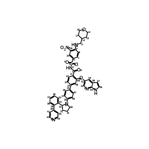 O=C(NS(=O)(=O)c1ccc(NCC2CCOCC2)c([N+](=O)[O-])c1)c1ccc(-c2ccc(N3CCCC3c3ccccc3-c3ccncc3)cc2)cc1Oc1cnc2[nH]ccc2c1